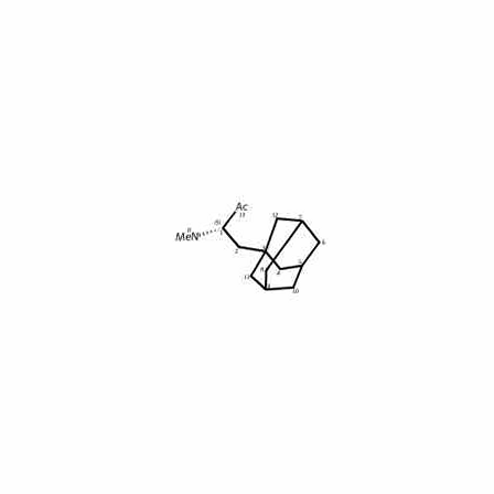 CN[C@@H](CC12CC3CC(CC(C3)C1)C2)C(C)=O